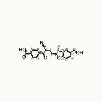 CN1C(=CC=C(C#N)C(=O)c2ccc(C(=O)O)cc2)Oc2ccc(CO)cc21